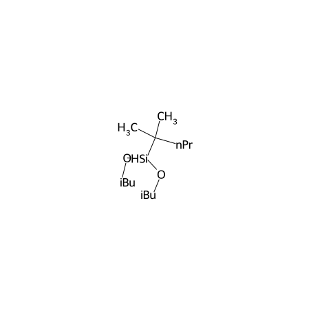 CCCC(C)(C)[SiH](OC(C)CC)OC(C)CC